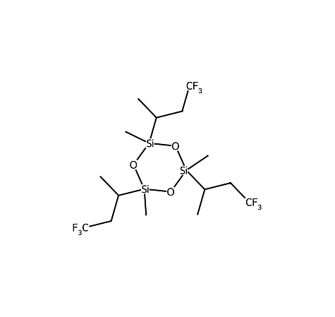 CC(CC(F)(F)F)[Si]1(C)O[Si](C)(C(C)CC(F)(F)F)O[Si](C)(C(C)CC(F)(F)F)O1